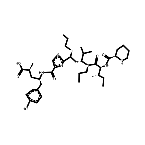 CCCOC(C[C@H](C(C)C)N(CCC)C(=O)[C@@H](NC(=O)[C@H]1CCCCN1)[C@@H](C)CC)c1nc(C(=O)N[C@@H](Cc2ccc(O)cc2)C[C@H](C)C(=O)O)cs1